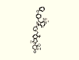 Nc1ncnc2c1c(-c1ccc(Oc3ccccc3)cc1)nn2[C@@H]1CCCN(Cc2ccc3c(c2F)CN(C2CCC(=O)NC2=O)C3=O)C1